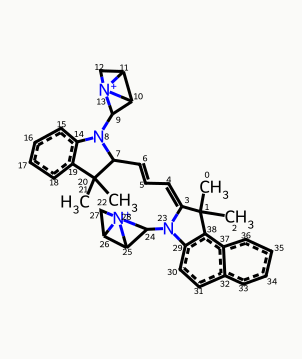 CC1(C)/C(=C/C=C/C2N(C3C4C5C[N+]543)c3ccccc3C2(C)C)N(C2C3C4C[N+]432)c2ccc3ccccc3c21